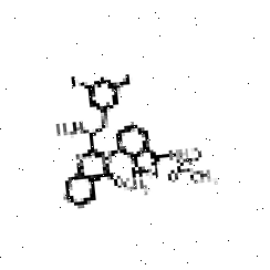 Cn1nc(NS(C)(=O)=O)c2cccc(-n3c([C@@H](N)Cc4cc(F)cc(F)c4)nc4ccccc4c3=O)c21